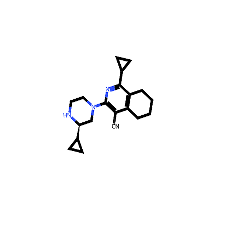 N#Cc1c(N2CCN[C@H](C3CC3)C2)nc(C2CC2)c2c1CCCC2